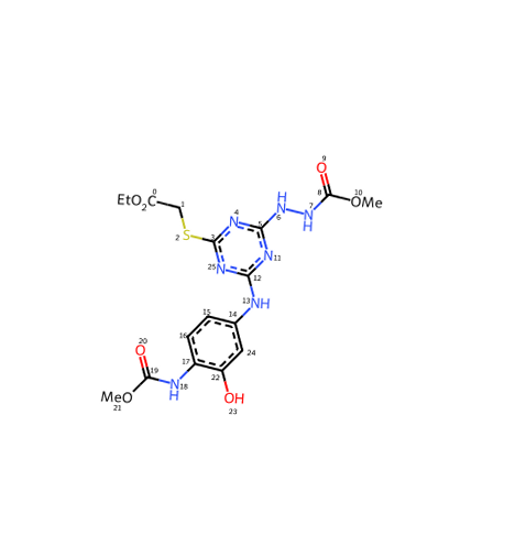 CCOC(=O)CSc1nc(NNC(=O)OC)nc(Nc2ccc(NC(=O)OC)c(O)c2)n1